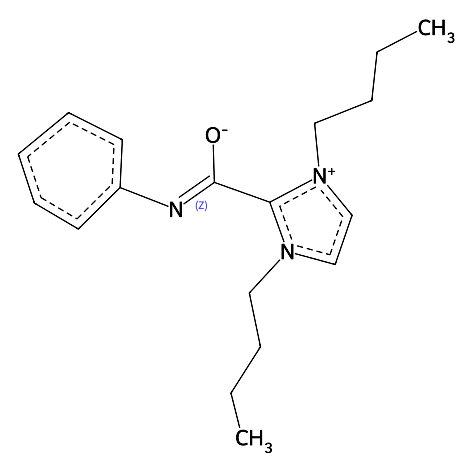 CCCCn1cc[n+](CCCC)c1/C([O-])=N/c1ccccc1